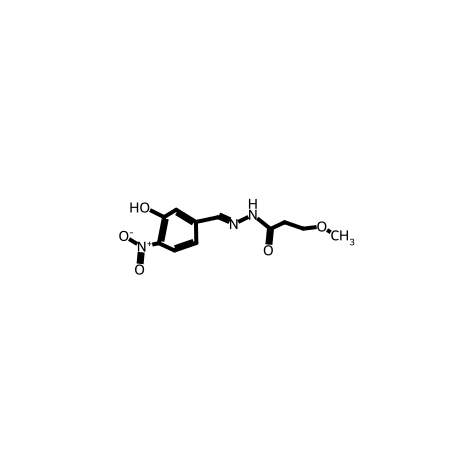 COCCC(=O)NN=Cc1ccc([N+](=O)[O-])c(O)c1